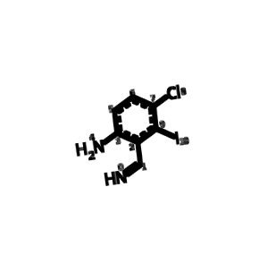 N=Cc1c(N)ccc(Cl)c1I